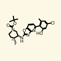 Cc1cc(Cl)cc(O)c1-c1ccc2oc(N[C@@H]3CN(C(=O)OC(C)(C)C)CC[C@@H]3F)nc2n1